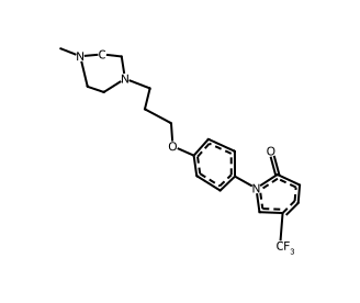 CN1CCN(CCCOc2ccc(-n3cc(C(F)(F)F)ccc3=O)cc2)CC1